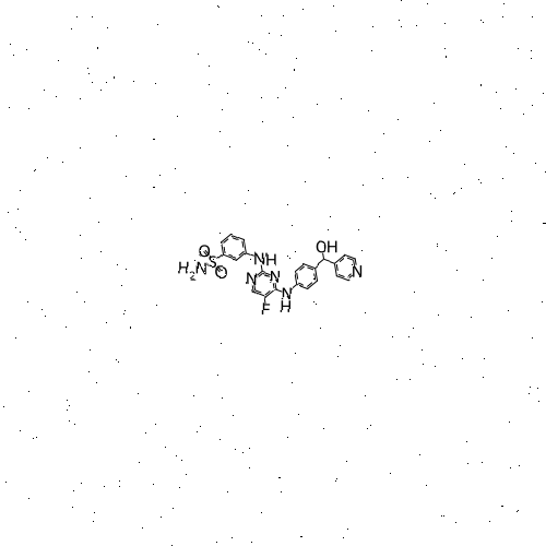 NS(=O)(=O)c1cccc(Nc2ncc(F)c(Nc3ccc(C(O)c4ccncc4)cc3)n2)c1